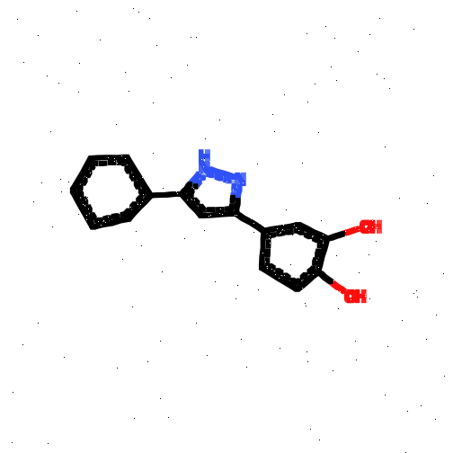 Oc1ccc(-c2cc(-c3ccccc3)[nH]n2)cc1O